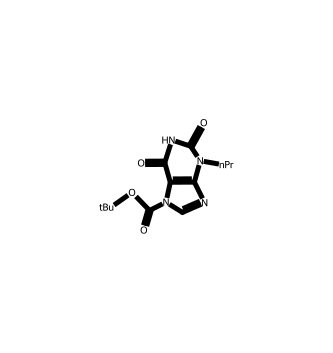 CCCn1c(=O)[nH]c(=O)c2c1ncn2C(=O)OC(C)(C)C